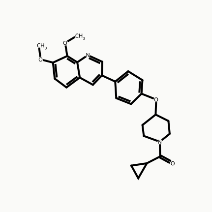 COc1ccc2cc(-c3ccc(OC4CCN(C(=O)C5CC5)CC4)cc3)cnc2c1OC